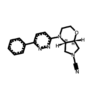 N#CN1C[C@H]2OCCN(c3ccc(-c4ccccc4)nn3)[C@H]2C1